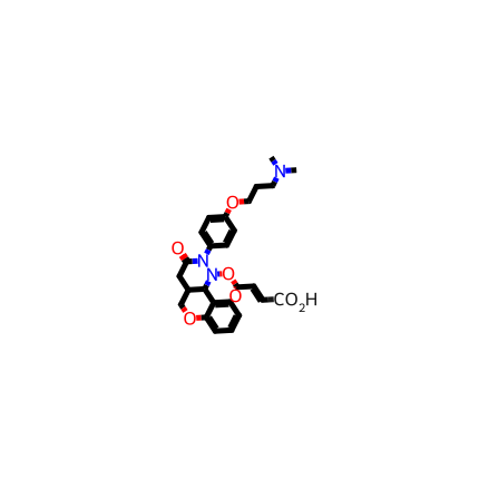 CN(C)CCCOc1ccc(N2C(=O)CC3COc4ccccc4C3N2OC(=O)/C=C/C(=O)O)cc1